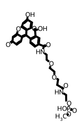 COP(=O)(O)OCCNC(=O)CCOCCOCCNC(=O)c1ccc(-c2c3ccc(=O)cc-3oc3cc(O)ccc23)c(C(=O)O)c1